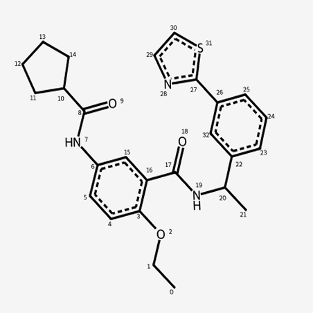 CCOc1ccc(NC(=O)C2CCCC2)cc1C(=O)NC(C)c1cccc(-c2nccs2)c1